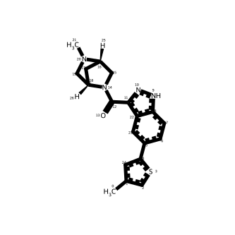 Cc1csc(-c2ccc3[nH]nc(C(=O)N4C[C@@H]5C[C@H]4CN5C)c3c2)c1